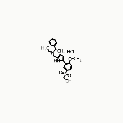 CCN(Cc1ccc(-c2cc(S(=O)(=O)CC)ccc2OC)[nH]1)[C@@H](C)c1ccccc1.Cl